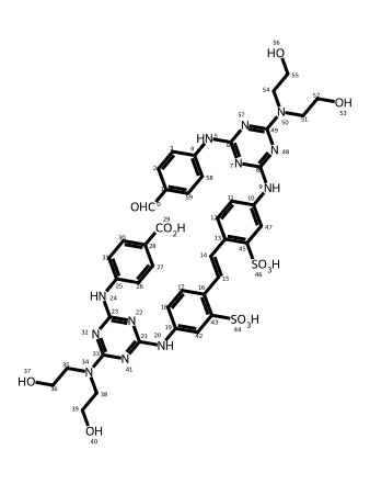 O=Cc1ccc(Nc2nc(Nc3ccc(/C=C/c4ccc(Nc5nc(Nc6ccc(C(=O)O)cc6)nc(N(CCO)CCO)n5)cc4S(=O)(=O)O)c(S(=O)(=O)O)c3)nc(N(CCO)CCO)n2)cc1